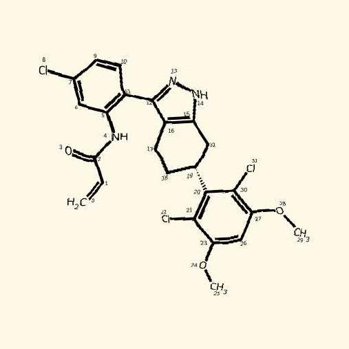 C=CC(=O)Nc1cc(Cl)ccc1-c1n[nH]c2c1CC[C@@H](c1c(Cl)c(OC)cc(OC)c1Cl)C2